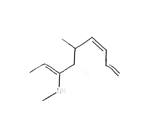 C=C/C=C\C(C)[C@H](C)/C(=C/C)NC